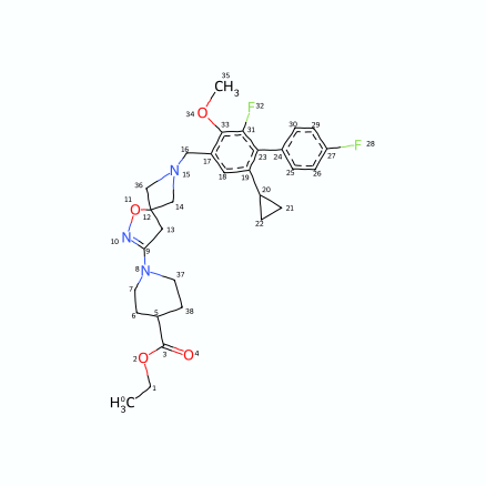 CCOC(=O)C1CCN(C2=NOC3(C2)CN(Cc2cc(C4CC4)c(-c4ccc(F)cc4)c(F)c2OC)C3)CC1